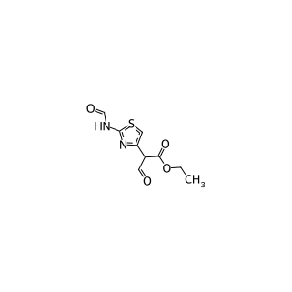 CCOC(=O)C(C=O)c1csc(NC=O)n1